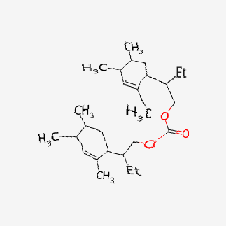 CCC(COC(=O)OCC(CC)C1CC(C)C(C)C=C1C)C1CC(C)C(C)C=C1C